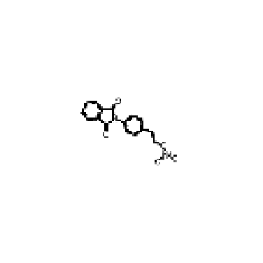 O=C1c2ccccc2C(=O)N1c1ccc(CCO[N+](=O)[O-])cc1